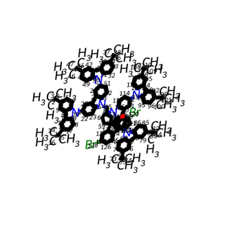 CC(C)(C)c1ccc2c(c1)c1cc(C(C)(C)C)ccc1n2-c1ccc2c(c1)c1cc(-n3c4ccc(C(C)(C)C)cc4c4cc(C(C)(C)C)ccc43)ccc1n2CCCC1(CCCn2c3ccc(-n4c5ccc(C(C)(C)C)cc5c5cc(C(C)(C)C)ccc54)cc3c3cc(-n4c5ccc(C(C)(C)C)cc5c5cc(C(C)(C)C)ccc54)ccc32)c2cc(Br)ccc2-c2ccc(Br)cc21